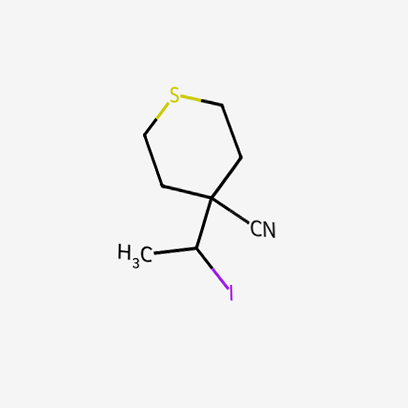 CC(I)C1(C#N)CCSCC1